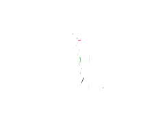 CCCCCCC=CCCCCCCCC(N)=O.Cl